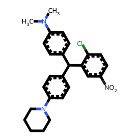 CN(C)c1ccc(C(c2ccc(N3CCCCC3)cc2)c2cc([N+](=O)[O-])ccc2Cl)cc1